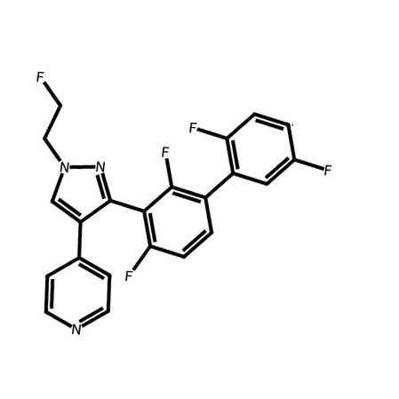 FCCn1cc(-c2ccncc2)c(-c2c(F)ccc(-c3cc(F)[c]cc3F)c2F)n1